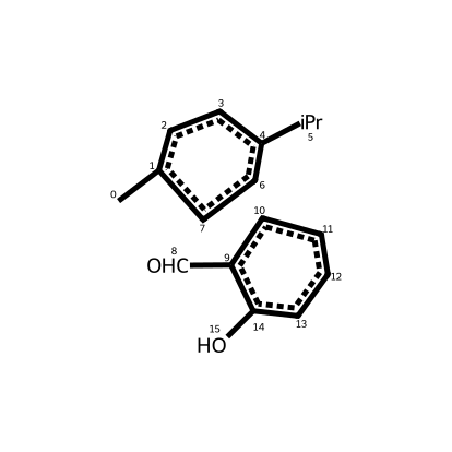 Cc1ccc(C(C)C)cc1.O=Cc1ccccc1O